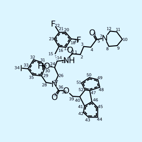 O=C(CCCC(=O)N1CCCCC1)N[C@@H](Cc1cc(F)cc(F)c1)[C@H](O)CN(Cc1cccc(I)c1)C(=O)OCC1c2ccccc2-c2ccccc21